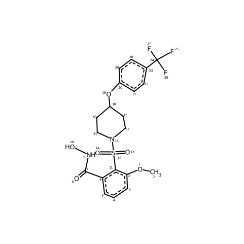 COc1cccc(C(=O)NO)c1S(=O)(=O)N1CCC(Oc2ccc(C(F)(F)F)cc2)CC1